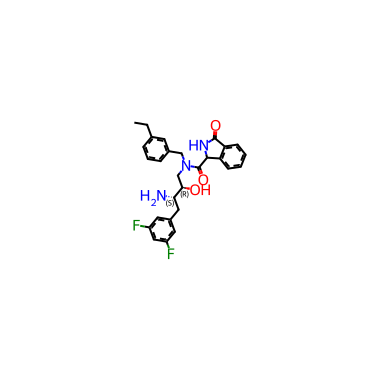 CCc1cccc(CN(C[C@@H](O)[C@@H](N)Cc2cc(F)cc(F)c2)C(=O)C2NC(=O)c3ccccc32)c1